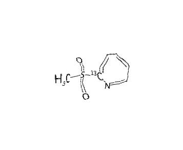 CS(=O)(=O)[13c]1ccccn1